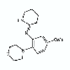 COc1ccc(N2CCOCC2)c(/N=C2\CCCCN2)c1